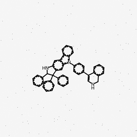 C1=C(c2ccc(-n3c4ccccc4c4cc5c(cc43)C(c3ccccc3)(c3ccccc3)C(c3ccccc3)N5)cc2)c2ccccc2CN1